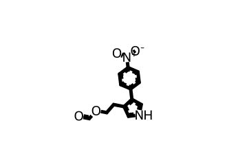 O=COCCc1c[nH]cc1-c1ccc([N+](=O)[O-])cc1